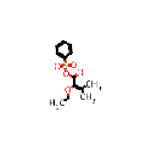 CCOC(C(=O)OS(=O)(=O)c1ccccc1)=C(C)C